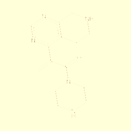 C=C(C(=O)N1CCNCC1)c1ncnc2c1CCNC2